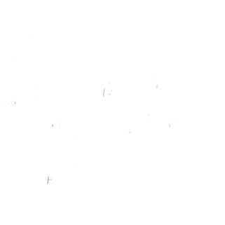 COC(=O)c1ccc(F)c(OCC(=O)C2(C)CC2)c1Br